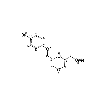 COCC1COCC(COc2ccc(Br)cc2)O1